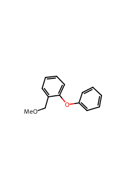 [CH2]OCc1ccccc1Oc1ccccc1